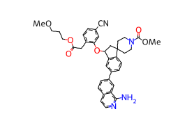 COCCCOC(=O)Cc1ccc(C#N)cc1OC1CC2(CCN(C(=O)OC)CC2)c2ccc(-c3ccc4ccnc(N)c4c3)cc21